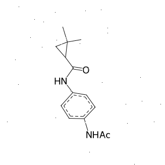 CC(=O)Nc1ccc(NC(=O)C2CC2(C)C)cc1